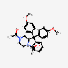 COc1ccc(C(c2ccccc2)(c2ccc(OC)cc2)C2CN(C(C)O)CCN2C(C)O)cc1